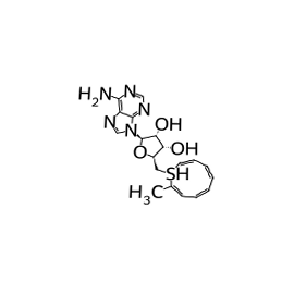 CC1=CC=CC=CC=C[SH]1C[C@H]1O[C@@H](n2cnc3c(N)ncnc32)[C@H](O)[C@@H]1O